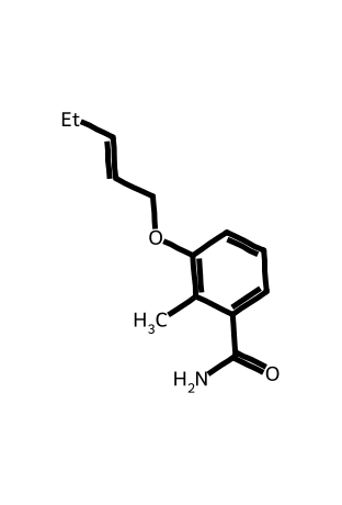 CCC=CCOc1cccc(C(N)=O)c1C